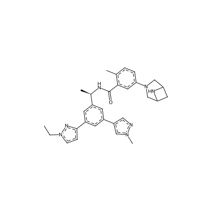 CCn1ccc(-c2cc(-c3cnn(C)c3)cc([C@@H](C)NC(=O)c3cc(N4CC5CC(C4)N5)ccc3C)c2)n1